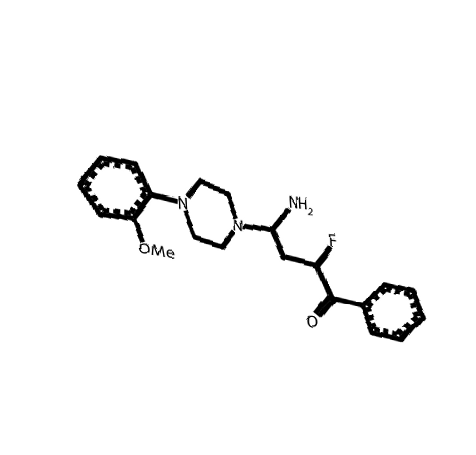 COc1ccccc1N1CCN(C(N)CC(F)C(=O)c2ccccc2)CC1